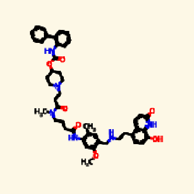 COc1cc(NC(=O)CCCN(C)C(=O)CCN2CCC(OC(=O)Nc3ccccc3-c3ccccc3)CC2)c(C)cc1CNCCc1ccc(O)c2[nH]c(=O)ccc12